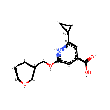 O=C(O)c1cc(OCC2CCCOC2)nc(C2CC2)c1